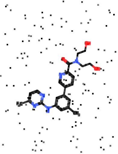 Cc1cc(Nc2nccc(C(F)(F)F)n2)cc(-c2ccc(C(=O)N(CCO)CCO)nc2)c1